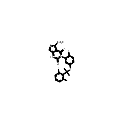 CC(C)(Sc1ccc(F)c(-n2c(=O)[nH]c3csc(C(=O)O)c3c2=O)c1)c1c(F)cccc1F